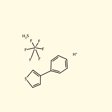 F[P-](F)(F)(F)(F)F.S.[H+].c1ccc(-c2ccsc2)cc1